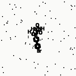 CC1(CC(=O)N2CCC(c3ccc(Br)cc3)CC2)NC(=O)NC1=O